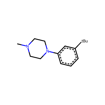 CN1CCN(c2cccc(C(C)(C)C)c2)CC1